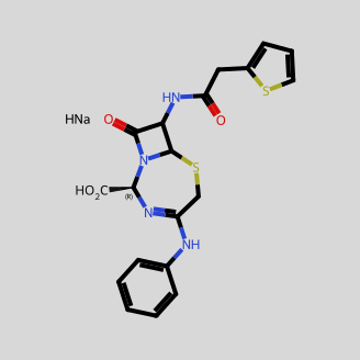 O=C(Cc1cccs1)NC1C(=O)N2C1SCC(Nc1ccccc1)=N[C@H]2C(=O)O.[NaH]